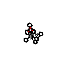 c1ccc(-c2cc(-c3ccccc3)nc(-c3c4ccccc4cc4c5ccccc5n(-c5ccc6c(c5)c5ccccc5n6-c5ccccc5)c34)n2)cc1